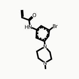 C=CC(=O)Nc1cc(Br)cc(N2CCN(C)CC2)c1